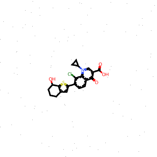 O=C(O)c1cn(C2CC2)c2c(Cl)c(-c3cc4c(s3)C(O)CCC4)ccc2c1=O